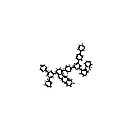 c1ccc(-c2ccc(-c3nc(-c4ccc(-c5ccc(-c6cc(-c7ccccc7)cc(-c7ccccc7)c6)c6oc7cc8ccccc8cc7c56)cc4)nc(-c4cccc5oc6ccccc6c45)n3)cc2)cc1